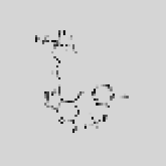 C[Si](C)(C)CCOCn1nnnc1[C@@H](Cc1ccc(Br)nc1)C(CC(F)(F)F)C(=O)O